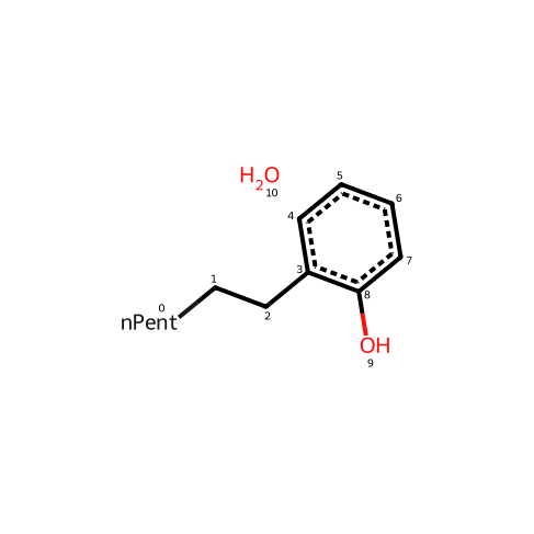 CCCCCCCc1ccccc1O.O